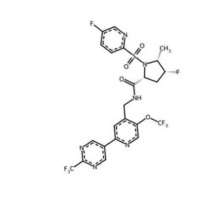 C[C@@H]1[C@H](F)C[C@H](C(=O)NCc2cc(-c3cnc(C(F)(F)F)nc3)ncc2OC(F)(F)F)N1S(=O)(=O)c1ccc(F)cn1